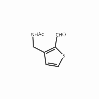 CC(=O)NCc1ccsc1C=O